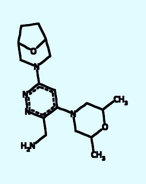 CC1CN(c2cc(N3CC4CCC(C3)O4)nnc2CN)CC(C)O1